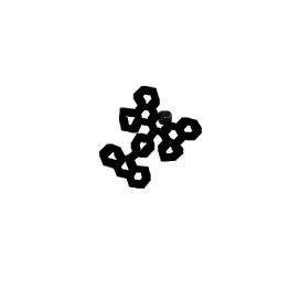 c1ccc2c(-c3ccc(C4c5c(c6ccccc6c6ccccc56)Oc5c4c4ccccc4c4ccccc54)cc3)c3ccccc3cc2c1